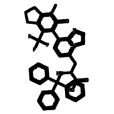 Cn1c2c(c(C(F)(F)F)c(-c3ccc(CC(NC(c4ccccc4)(c4ccccc4)c4ccccc4)C(=O)O)n4ccnc34)c1=O)CCC2